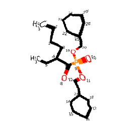 CCCCC(CC)C(=O)P(=O)(OCC1CCCCC1)OCC1CCCCC1